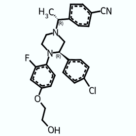 C[C@H](c1ccc(C#N)cc1)N1CCN(c2ccc(OCCO)cc2F)[C@H](c2ccc(Cl)cc2)C1